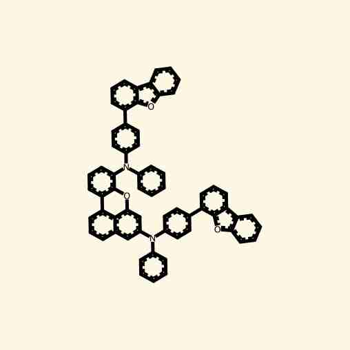 c1ccc(N(c2ccc(-c3cccc4c3oc3ccccc34)cc2)c2cc3c4c(cccc4c2)-c2cccc(N(c4ccccc4)c4ccc(-c5cccc6c5oc5ccccc56)cc4)c2O3)cc1